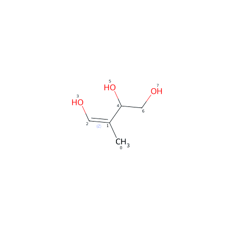 C/C(=C/O)C(O)CO